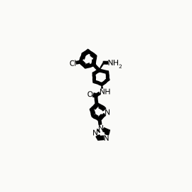 NC[C@]1(c2cccc(Cl)c2)CC[C@H](NC(=O)c2ccc(-n3cncn3)nc2)CC1